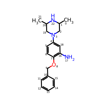 CC1CN(c2ccc(OCc3ccccc3)c(N)c2)CC(C)N1